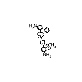 CS(=O)(=O)c1cc(N)ccc1N1CCN(C(=O)CN(C(=O)c2cccc(N)c2)c2ccccc2)CC1